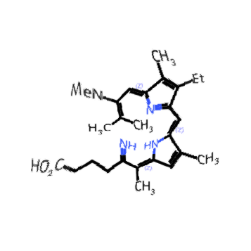 CCC1=C(C)/C(=C/C(NC)=C(C)C)N=C1/C=c1\[nH]/c(=C(/C)C(=N)CCCC(=O)O)cc1C